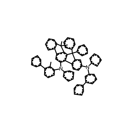 Cc1c(-c2ccccc2)cccc1N(c1ccccc1)c1cc2c(c3c1-c1ccc(N(c4ccccc4)c4cccc(-c5ccccc5)c4)cc1C3(c1ccccc1)c1ccccc1)C(C)(C)c1ccccc1-2